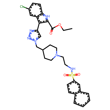 CCOC(=O)c1[nH]c2ccc(Cl)cc2c1-c1cn(CC2CCN(CCNS(=O)(=O)c3ccc4ccccc4c3)CC2)nn1